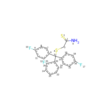 NC(=S)CSC(c1ccc(F)cc1)(c1ccc(F)cc1)c1ccccc1F